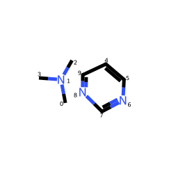 CN(C)C.c1cncnc1